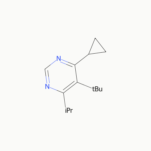 CC(C)c1ncnc(C2CC2)c1C(C)(C)C